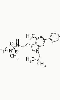 Cc1cc(-c2ccncc2)cc2c1c(CCNS(=O)(=O)N(C)C)cn2CC(C)C